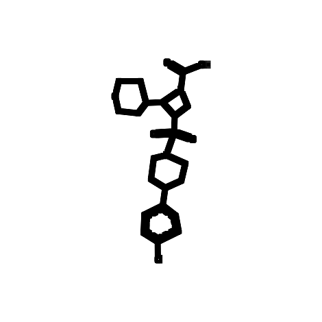 O=C(O)N1CC(S(=O)(=O)N2CCC(c3ccc(Cl)cc3)CC2)C1C1CCOCC1